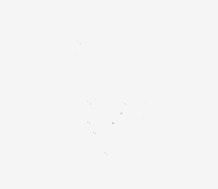 COc1ccc(OC2CCN(c3nnc(C(N)=O)c([C@@H]4CCC=C5C=CC=N[C@H]54)c3C)CC2)cn1